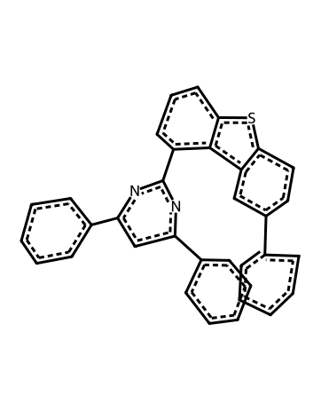 c1ccc(-c2ccc3sc4cccc(-c5nc(-c6ccccc6)cc(-c6ccccc6)n5)c4c3c2)cc1